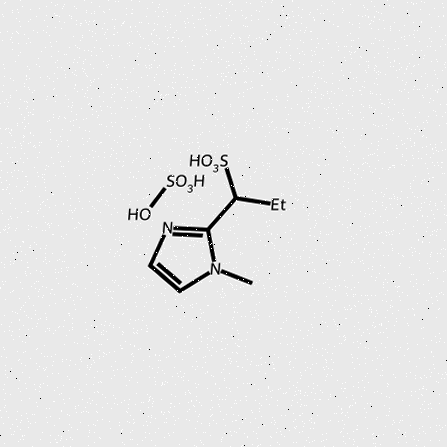 CCC(c1nccn1C)S(=O)(=O)O.O=S(=O)(O)O